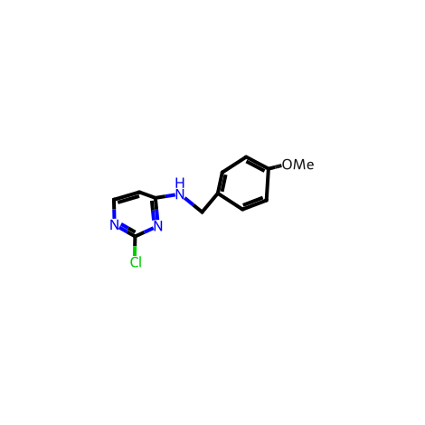 COc1ccc(CNc2ccnc(Cl)n2)cc1